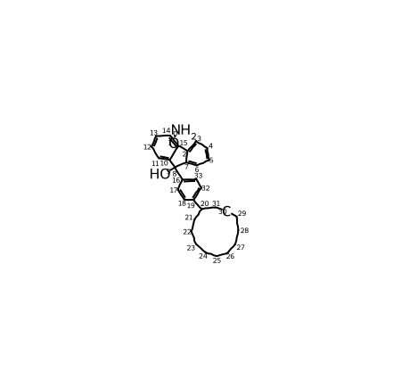 NOc1ccccc1C(O)(c1ccccc1)c1ccc(C2CCCCCCCCCCC2)cc1